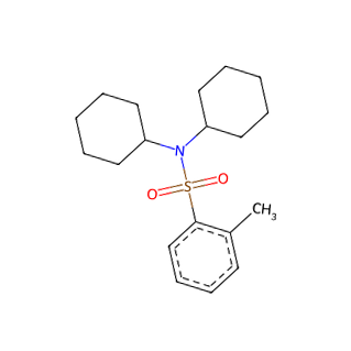 Cc1ccccc1S(=O)(=O)N(C1CCCCC1)C1CCCCC1